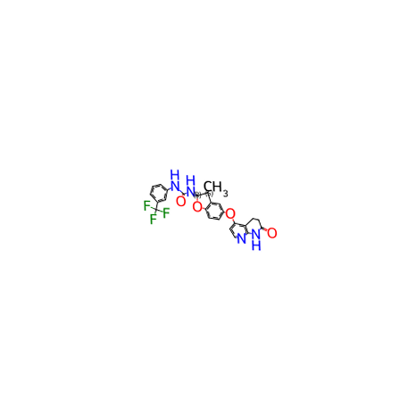 C[C@H]1c2cc(Oc3ccnc4c3CCC(=O)N4)ccc2O[C@H]1NC(=O)Nc1cccc(C(F)(F)F)c1